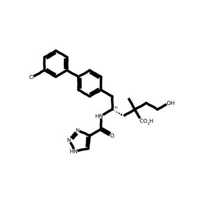 CC(CCO)(C[C@@H](Cc1ccc(-c2cccc(Cl)c2)cc1)NC(=O)c1c[nH]nn1)C(=O)O